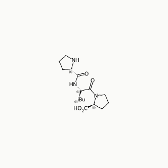 CC[C@H](C)[C@H](NC(=O)[C@@H]1CCCN1)C(=O)N1CCC[C@H]1C(=O)O